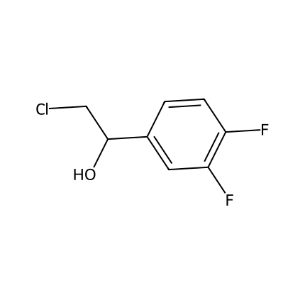 OC(CCl)c1ccc(F)c(F)c1